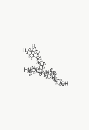 CC(C)c1ccccc1C1CCCN1C1CC2(CCN(c3cc(Oc4cnc5[nH]ccc5c4)c(C(=O)NSc4ccc(NCC5CCC(O)CC5)c([N+](=O)[O-])c4)cc3F)CC2)C1